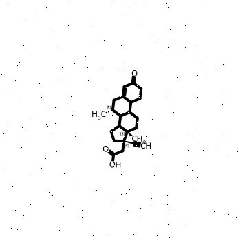 C#C[C@@]1(CC(=O)O)CCC2C3C(CC[C@@]21C)C1CCC(=O)C=C1C[C@H]3C